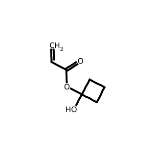 C=CC(=O)OC1(O)CCC1